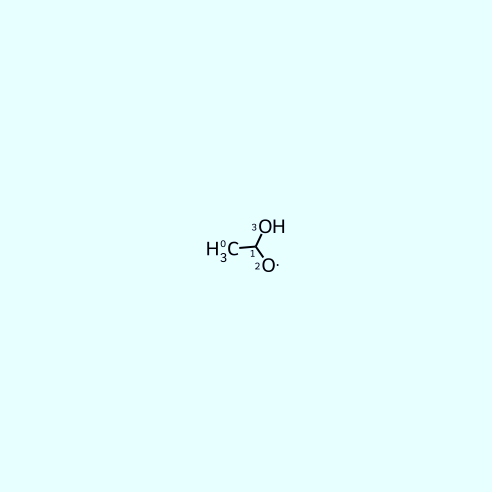 CC([O])O